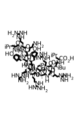 CC[C@H](C)[C@H](NC(=O)[C@H](CCCNC(=N)N)NC(=O)[C@H](CCCNC(=N)N)NC(=O)[C@H](C)NC(=O)[C@H](CC(C)C)NC(=O)[C@H](CCCNC(=N)N)NC(=O)[C@H](CCCNC(=N)N)NC(=O)[C@H](Cc1ccc(O)cc1)NC(=O)[C@H](Cc1ccc(O)cc1)NC(=O)[C@H](CCCCN)NC(=O)[C@H](CCCNC(=N)N)NC(=O)[C@@H](N)CC(C)C)C(=O)N[C@@H](CC(C)C)C(=O)O